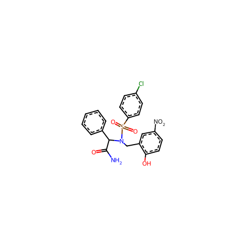 NC(=O)C(c1ccccc1)N(Cc1cc([N+](=O)[O-])ccc1O)S(=O)(=O)c1ccc(Cl)cc1